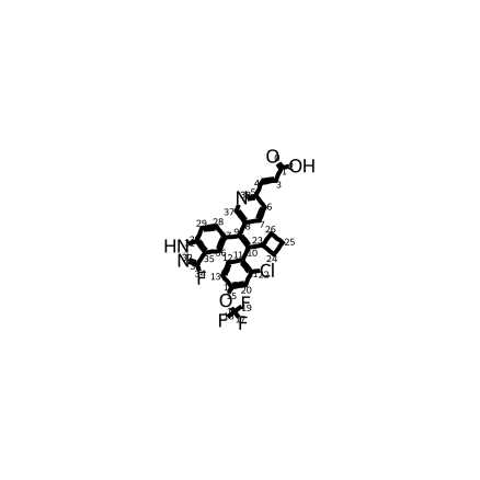 O=C(O)C=Cc1ccc(C(=C(c2ccc(OC(F)(F)F)cc2Cl)C2CCC2)c2ccc3[nH]nc(F)c3c2)cn1